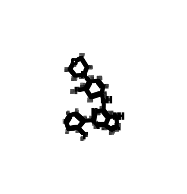 Fc1ccccc1-c1nc(Nc2ccc(N3CCOCC3)c(F)c2)c2[nH]ncc2n1